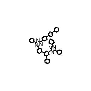 c1ccc(-c2ccc(-c3ccc(-c4nc(-c5ccccc5)nc(-c5cccc(-c6cc(-c7ccccc7)cc(-c7nc(-c8ccccc8)nc(-c8ccccc8)n7)c6)c5)n4)cc3)cc2)cc1